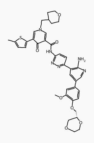 COc1cc(-c2cnc(N)c(-c3ccc(NC(=O)c4cn(CC5CCOCC5)cc(-c5ccc(C)s5)c4=O)nn3)c2)ccc1OC[C@H]1COCCO1